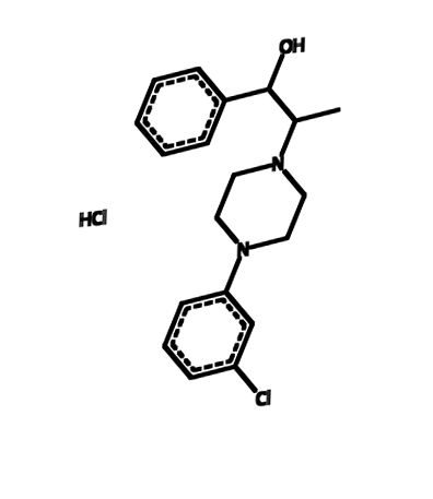 CC(C(O)c1ccccc1)N1CCN(c2cccc(Cl)c2)CC1.Cl